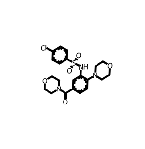 O=C(c1ccc(N2CCOCC2)c(NS(=O)(=O)c2ccc(Cl)cc2)c1)N1CCOCC1